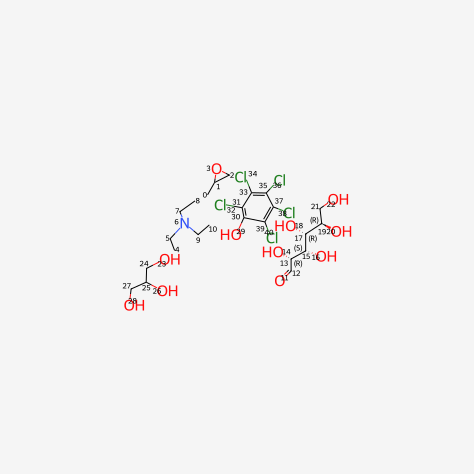 CC1CO1.CCN(CC)CC.O=C[C@H](O)[C@@H](O)[C@H](O)[C@H](O)CO.OCC(O)CO.Oc1c(Cl)c(Cl)c(Cl)c(Cl)c1Cl